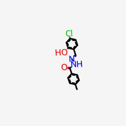 Cc1ccc(C(=O)N/N=C/c2ccc(Cl)cc2O)cc1